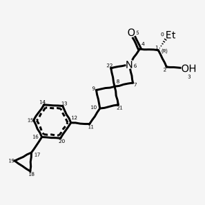 CC[C@H](CO)C(=O)N1CC2(CC(Cc3cccc(C4CC4)c3)C2)C1